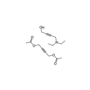 CC(=O)OCC#CCOC(C)=O.CCN(CC)CC#CCO